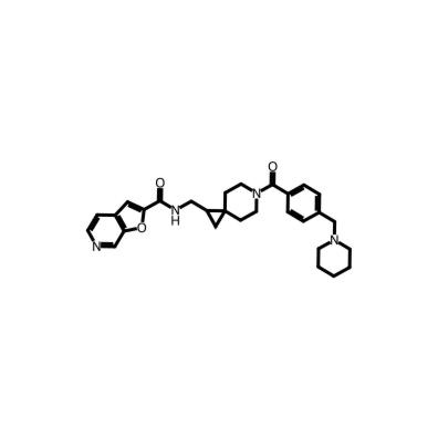 O=C(NCC1CC12CCN(C(=O)c1ccc(CN3CCCCC3)cc1)CC2)c1cc2ccncc2o1